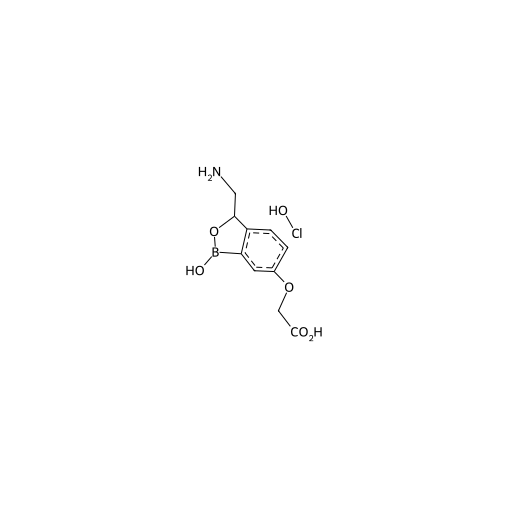 NCC1OB(O)c2cc(OCC(=O)O)ccc21.OCl